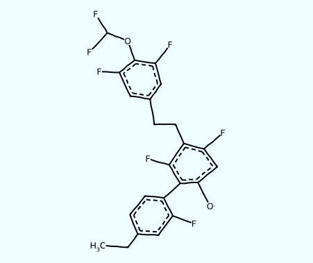 CCc1ccc(-c2c([O])cc(F)c(CCc3cc(F)c(OC(F)F)c(F)c3)c2F)c(F)c1